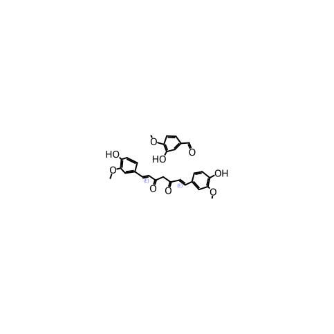 COc1cc(/C=C/C(=O)CC(=O)/C=C/c2ccc(O)c(OC)c2)ccc1O.COc1ccc(C=O)cc1O